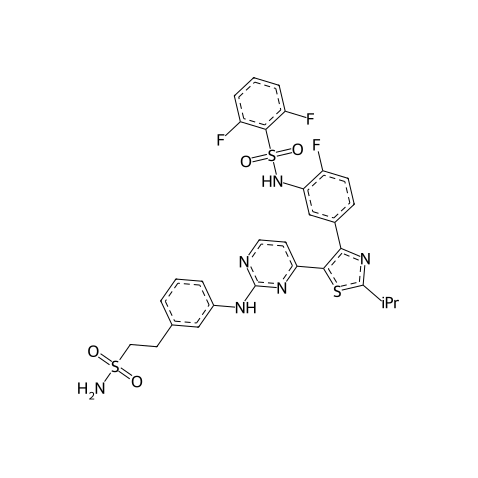 CC(C)c1nc(-c2ccc(F)c(NS(=O)(=O)c3c(F)cccc3F)c2)c(-c2ccnc(Nc3cccc(CCS(N)(=O)=O)c3)n2)s1